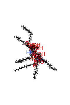 CCCCCCCCCCCCCCCC(=O)OC(CCCCCCCCCCC)CC(=O)NC1C(O)OC(CO[C@@H]2OC(CO)[C@@H](OP(=O)(O)O)[C@H](OC(=O)CC(CCCCCCCCCCC)OC(=O)CCCCCCCCCCCCCCC)C2NC(=O)CC(O)CCCCCCCCCCC)[C@@H](O)[C@@H]1OC(=O)CC(O)CCCCCCCCCCC